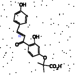 CC(C)(Oc1ccc(C(=O)/C=C/c2ccc(O)cc2)c(O)c1)C(=O)O